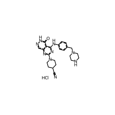 Cl.N#CC1CCN(c2nc(Nc3ccc(CN4CCNCC4)cc3)c3c(=O)[nH]ncc3n2)CC1